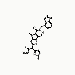 COC(=O)C(c1cc[nH]n1)c1nc2c(s1)c1cnn(Cc3cccc4[nH]ncc34)c(=O)c1n2C